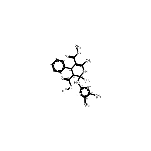 COC(=O)C1=C(C)NC(C)(Nc2nc(C)c(C)s2)C(C(=O)OC)C1c1ccccc1